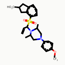 C=CC(N1C(C)CN(c2ccc(OC(F)(F)F)cc2)CC1C)S(=O)(=O)c1cccc2c1CC(C(=O)O)C2